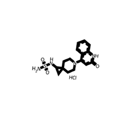 Cl.NS(=O)(=O)NC1CC12CCN(c1cc(=O)[nH]c3ccccc13)CC2